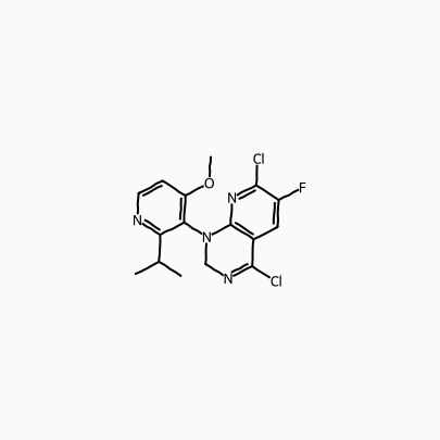 COc1ccnc(C(C)C)c1N1CN=C(Cl)c2cc(F)c(Cl)nc21